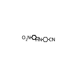 N#CC1CCC(NCc2ccc([N+](=O)[O-])cc2)CC1